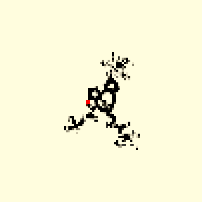 CC(C)(C)OC(=O)NCCN1CCC23CC[C@@H]4CN(C(=O)OCC(Cl)(Cl)Cl)C(CCC1Cc1ccc(O[Si](C)(C)C(C)(C)C)cc12)C43